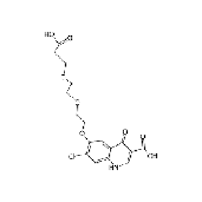 O=C(O)CCOCCOCCOc1cc2c(=O)c(C(=O)O)c[nH]c2cc1Cl